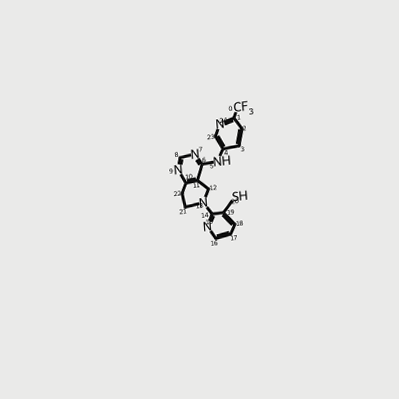 FC(F)(F)c1ccc(Nc2ncnc3c2CN(c2ncccc2S)CC3)cn1